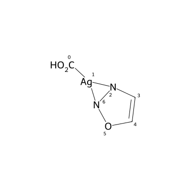 O=[C](O)[Ag]1[N]2C=CO[N]21